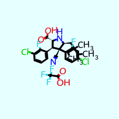 CCC(C)(CC)C[C@@H]1N[C@@H](C(=O)O)[C@H](c2cccc(Cl)c2F)[C@@]1(C#N)c1ccc(Cl)cc1F.O=C(O)C(F)(F)F